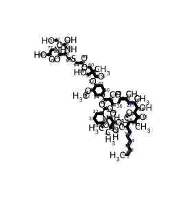 C\C=C/C=C/C=C/[C@@H](C)C[C@@H](C)C(=O)[C@H](OC)[C@H](O)/C(C)=C/[C@@H](C)C(=O)C[C@H](OC(=O)[C@@H]1CCCCN1C(=O)C(O)[C@](C)(O)OC)[C@H](C)C[C@@H]1CC[C@@H](OC(=O)C(C)(CO)COC(=O)CSC[C@H](NC(O)OCO)C(=O)NCC(=O)O)[C@H](OC)C1